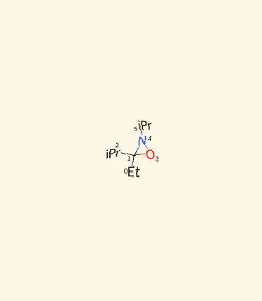 CCC1(C(C)C)ON1C(C)C